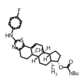 CCCCC(=O)O[C@H]1CC[C@H]2[C@@H]3CC=C4c5sc(Nc6ccc(F)cc6)nc5CC[C@]4(C)[C@H]3CC[C@]12C